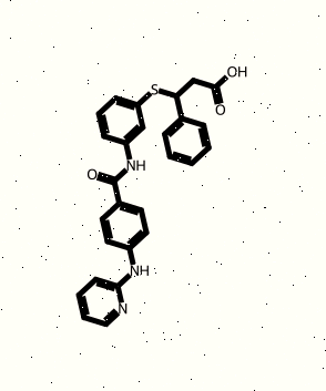 O=C(O)CC(Sc1cccc(NC(=O)c2ccc(Nc3ccccn3)cc2)c1)c1ccccc1